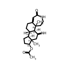 CC(=O)O[C@H]1CC[C@H]2[C@@H]3CCC4=CC(=O)NCC[C@]4(C)[C@H]3C(=N)C[C@]12C